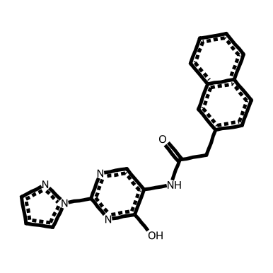 O=C(Cc1ccc2ccccc2c1)Nc1cnc(-n2cccn2)nc1O